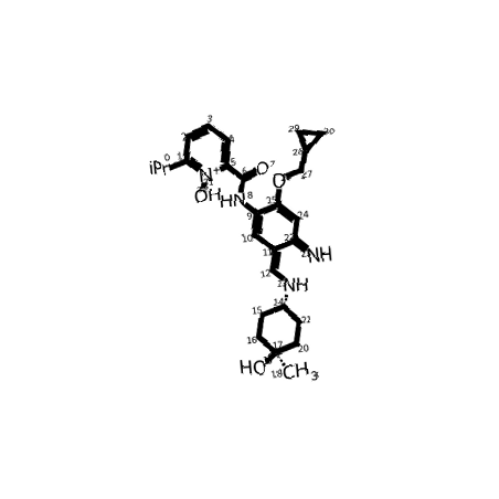 CC(C)c1cccc(C(=O)NC2=C/C(=C/N[C@H]3CC[C@](C)(O)CC3)C(=N)C=C2OCC2CC2)[n+]1O